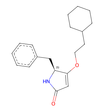 O=C1C=C(OCCC2CCCCC2)[C@H](Cc2ccccc2)N1